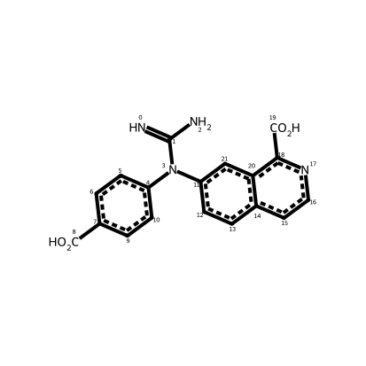 N=C(N)N(c1ccc(C(=O)O)cc1)c1ccc2ccnc(C(=O)O)c2c1